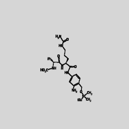 CC(C)[C@H](NC(=O)O)C(=O)N[C@@H](CCCNC(N)=O)C(=O)Nc1ccc(CO[Si](C)(C)C(C)(C)C)c(N)c1